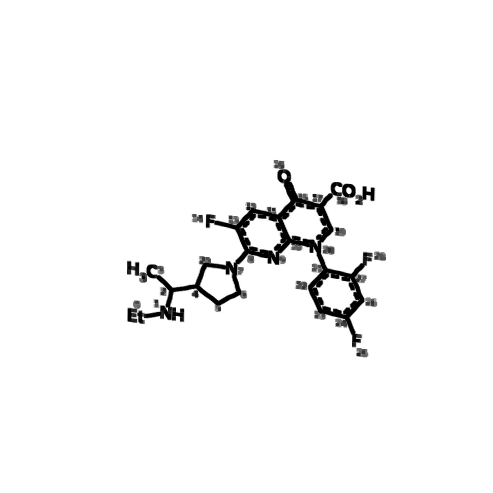 CCNC(C)C1CCN(c2nc3c(cc2F)c(=O)c(C(=O)O)cn3-c2ccc(F)cc2F)C1